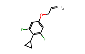 C=CCOc1cc(F)c(C2CC2)c(F)c1